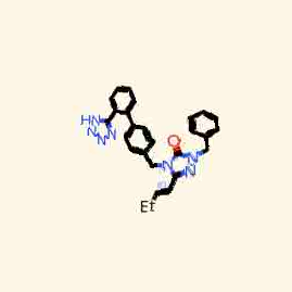 CC/C=C/c1nn(Cc2ccccc2)c(=O)n1Cc1ccc(-c2ccccc2-c2nnn[nH]2)cc1